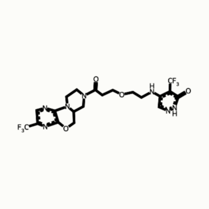 O=C(CCOCCNc1cn[nH]c(=O)c1C(F)(F)F)N1CCN2c3ncc(C(F)(F)F)nc3OCC2C1